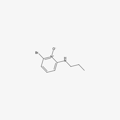 CCCNc1cccc(Br)[n+]1[O-]